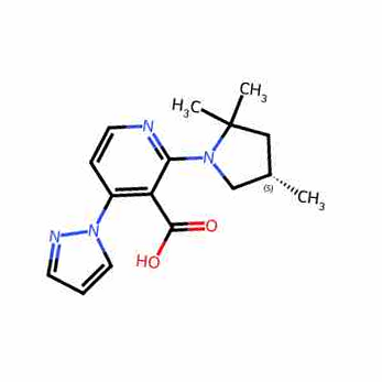 C[C@@H]1CN(c2nccc(-n3cccn3)c2C(=O)O)C(C)(C)C1